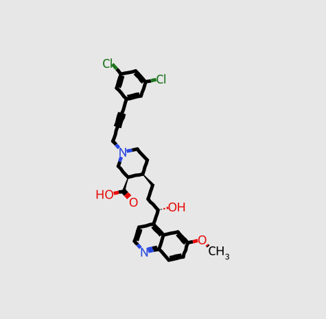 COc1ccc2nccc([C@@H](O)CC[C@@H]3CCN(CC#Cc4cc(Cl)cc(Cl)c4)C[C@@H]3C(=O)O)c2c1